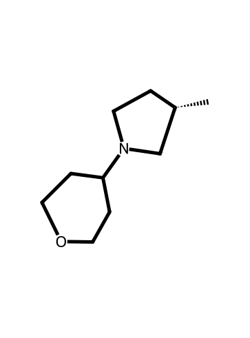 C[C@H]1CCN(C2CCOCC2)C1